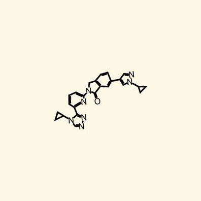 O=C1c2cc(-c3cnn(C4CC4)c3)ccc2CN1c1cccc(-c2nncn2C2CC2)n1